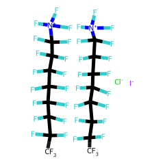 FC(F)(F)C(F)(F)C(F)(F)C(F)(F)C(F)(F)C(F)(F)C(F)(F)C(F)(F)[N+](F)(F)F.FC(F)(F)C(F)(F)C(F)(F)C(F)(F)C(F)(F)C(F)(F)C(F)(F)C(F)(F)[N+](F)(F)F.[Cl-].[I-]